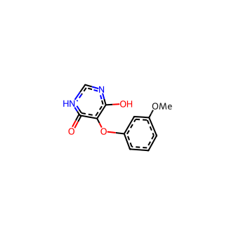 COc1cccc(Oc2c(O)nc[nH]c2=O)c1